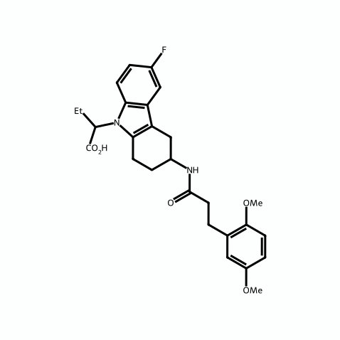 CCC(C(=O)O)n1c2c(c3cc(F)ccc31)CC(NC(=O)CCc1cc(OC)ccc1OC)CC2